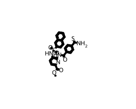 COC(=O)c1ccc(NS(=O)(=O)c2ccc3ccccc3c2)c(NC(=O)c2ccc(C(N)=S)cc2)n1